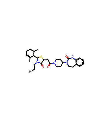 CC1=CCCC(C)C1C1SC(CC(=O)N2CCC(N3CCc4ccccc4NC3=O)CC2)C(=O)N1CCC(C)C